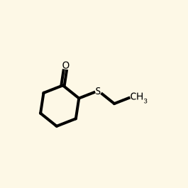 CCSC1CCCCC1=O